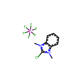 Cn1c(Cl)[n+](C)c2ccccc21.F[P-](F)(F)(F)(F)F